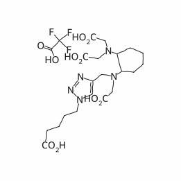 O=C(O)C(F)(F)F.O=C(O)CCCCn1cc(CN(CC(=O)O)C2CCCCC2N(CC(=O)O)CC(=O)O)nn1